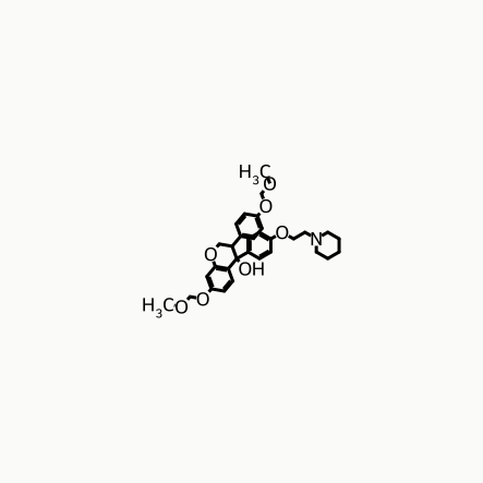 COCOc1ccc(C2COc3cc(OCOC)ccc3C2(O)c2ccc(OCCN3CCCCC3)cc2)cc1